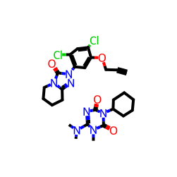 C#CCOc1cc(-n2nc3n(c2=O)CCCC3)c(Cl)cc1Cl.CN(C)c1nc(=O)n(C2CCCCC2)c(=O)n1C